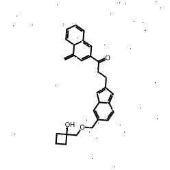 C=C1C=C(C(=O)CCC2=CC3C=C(COCC4(O)CCC4)C=CC3=C2)C=C2C=CC=CC12